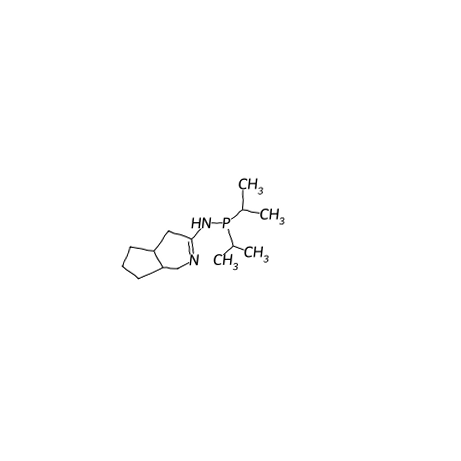 CC(C)P(NC1=NCC2CCCC2C1)C(C)C